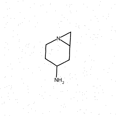 NC1CCN2CC2C1